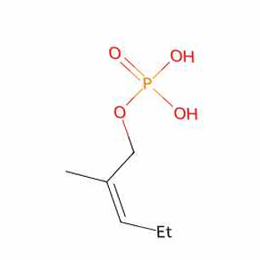 CCC=C(C)COP(=O)(O)O